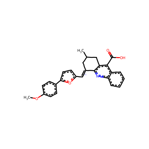 COc1ccc(-c2ccc(/C=C3\CC(C)Cc4c3nc3ccccc3c4C(=O)O)o2)cc1